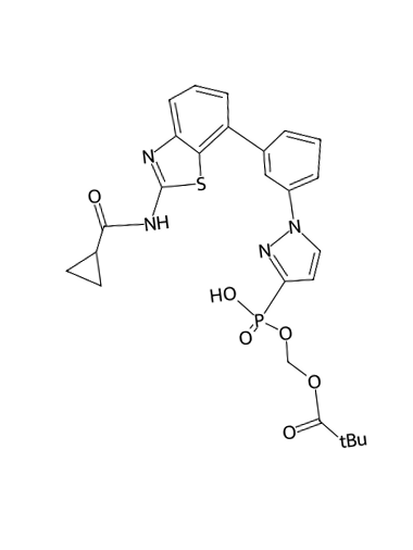 CC(C)(C)C(=O)OCOP(=O)(O)c1ccn(-c2cccc(-c3cccc4nc(NC(=O)C5CC5)sc34)c2)n1